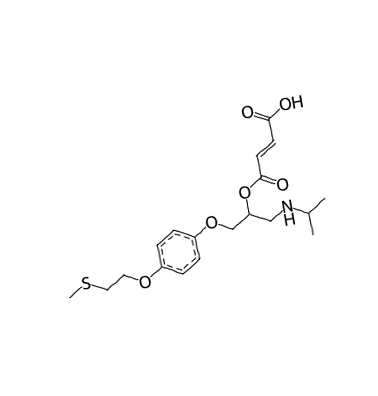 CSCCOc1ccc(OCC(CNC(C)C)OC(=O)/C=C/C(=O)O)cc1